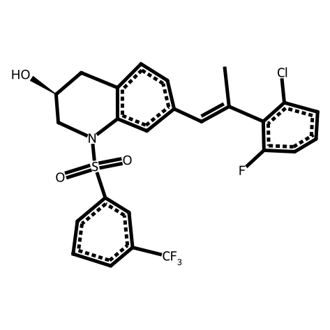 C/C(=C\c1ccc2c(c1)N(S(=O)(=O)c1cccc(C(F)(F)F)c1)C[C@@H](O)C2)c1c(F)cccc1Cl